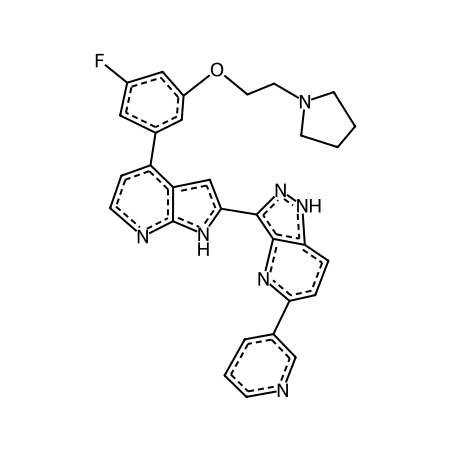 Fc1cc(OCCN2CCCC2)cc(-c2ccnc3[nH]c(-c4n[nH]c5ccc(-c6cccnc6)nc45)cc23)c1